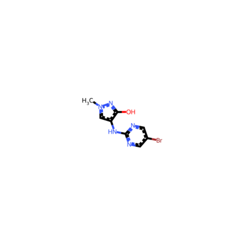 Cn1cc(Nc2ncc(Br)cn2)c(O)n1